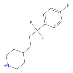 Fc1ccc(C(F)(F)CCC2CCNCC2)cc1